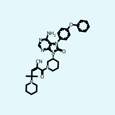 CC(C)(/C=C(/C#N)C(=O)N1CCC[C@H](n2c(=O)n(-c3ccc(Oc4ccccc4)cc3)c3c(N)ncnc32)C1)N1CCCCC1